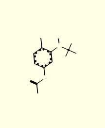 CC(=O)Nc1ccc(C)c(N(S)C(F)(F)F)c1